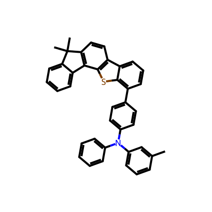 Cc1cccc(N(c2ccccc2)c2ccc(-c3cccc4c3sc3c5c(ccc34)C(C)(C)c3ccccc3-5)cc2)c1